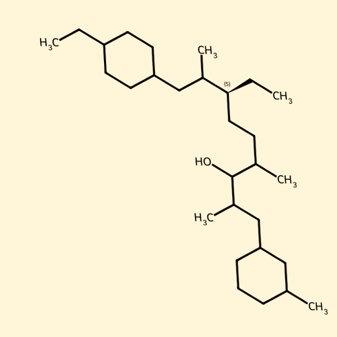 CCC1CCC(CC(C)[C@@H](CC)CCC(C)C(O)C(C)CC2CCCC(C)C2)CC1